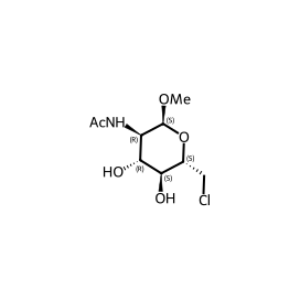 CO[C@H]1O[C@H](CCl)[C@@H](O)[C@H](O)[C@H]1NC(C)=O